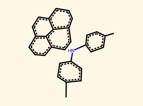 Cc1ccc(Nc2ccc(C)cc2)cc1.c1cc2ccc3cccc4ccc(c1)c2c34